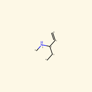 C=CC(CC)NC